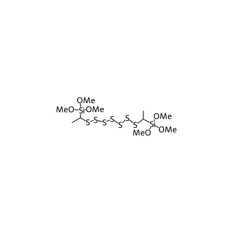 CO[Si](OC)(OC)C(C)SSSSSSSC(C)[Si](OC)(OC)OC